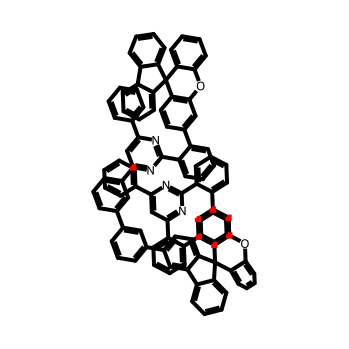 c1ccc(-c2cc(-c3cccc(-c4cccc(-c5ccc6c(c5)-c5ccccc5C65c6ccccc6Oc6cc(-c7ccccc7-c7nc(-c8ccccc8)cc(-c8ccccc8-c8ccccc8)n7)ccc65)c4)c3)nc(-c3ccccc3-c3ccc4c(c3)Oc3ccccc3C43c4ccccc4-c4ccccc43)n2)cc1